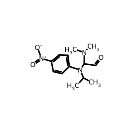 CC(C)N(c1ccc([N+](=O)[O-])cc1)C(C=O)N(C)C